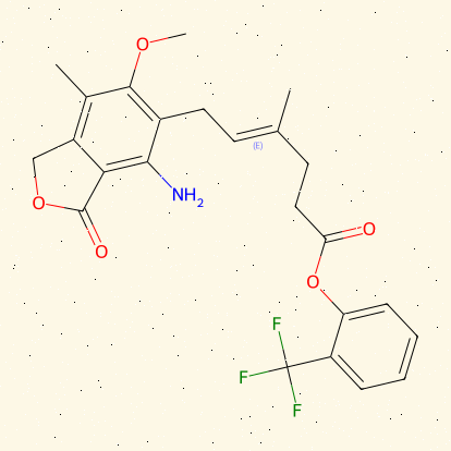 COc1c(C)c2c(c(N)c1C/C=C(\C)CCC(=O)Oc1ccccc1C(F)(F)F)C(=O)OC2